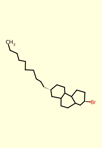 CCCCCCCCCC[C@@H]1CCC2C(CCC3C[C@H](Br)CCC32)C1